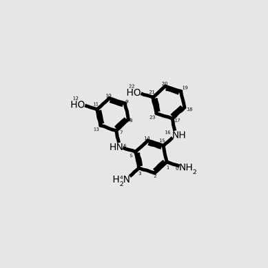 Nc1cc(N)c(Nc2cccc(O)c2)cc1Nc1cccc(O)c1